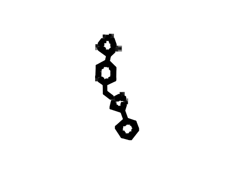 c1ccc(-c2cn(Cc3ccc(-c4nnn[nH]4)cn3)nn2)cc1